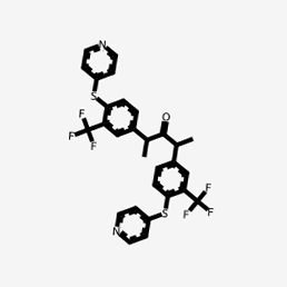 CC(C(=O)C(C)c1ccc(Sc2ccncc2)c(C(F)(F)F)c1)c1ccc(Sc2ccncc2)c(C(F)(F)F)c1